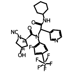 N#CN1C[C@H](O)C[C@@H]1C(=O)N(c1ccc(S(F)(F)(F)(F)F)cc1F)C(C(=O)NC1CCCCC1)c1cccnc1